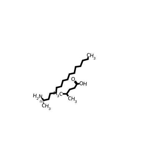 CC(C)CCC(=O)O.CCCCCCCCCCCCCC[C@H](C)N